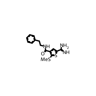 CSc1sc(C(=N)N)cc1C(=O)NCCc1ccccc1